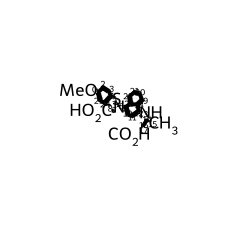 COc1ccc(SN(CC(=O)O)c2ccc(N[C@@H](C)CC(=O)O)c3ccccc23)cc1